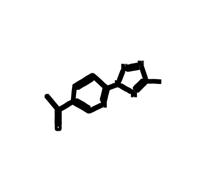 CC(=O)c1ccc(-n2nnc(C)n2)nc1